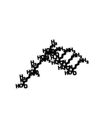 NCC(=O)O.NCC(=O)O.NCC(=O)O.NCCCC[C@H](N)C(=O)O.NCCCC[C@H](N)C(=O)O.NCCCC[C@H](N)C(=O)O.NCCCC[C@H](N)C(=O)O.NCCCC[C@H](N)C(=O)O